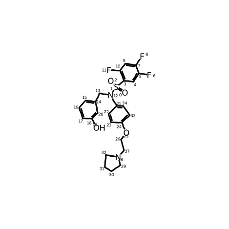 O=S(=O)(c1cc(F)c(F)cc1F)N(Cc1cccc(O)c1)c1ccc(OCCN2CCCC2)cc1